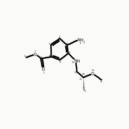 COC(=O)c1ccc(N)c(NC[C@@H](C)OC)c1